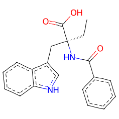 CC[C@@](Cc1c[nH]c2ccccc12)(NC(=O)c1ccccc1)C(=O)O